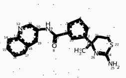 CC1(c2cccc(C(=O)Nc3cnc4ccccc4c3)c2)CCSC(N)=N1